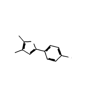 Cc1cc(-c2ccc(Cl)cc2)sc1C